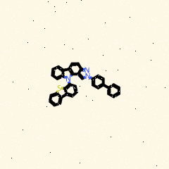 c1ccc(-c2ccc(-n3cc4c(ccc5c6ccccc6n(-c6cccc7c6sc6ccccc67)c45)n3)cc2)cc1